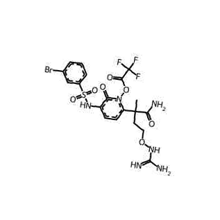 CC(CCONC(=N)N)(C(N)=O)c1ccc(NS(=O)(=O)c2cccc(Br)c2)c(=O)n1OC(=O)C(F)(F)F